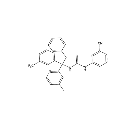 Cc1ccnc(C(Cc2ccccc2)(NC(=O)Nc2cccc(C#N)c2)c2cccc(C(F)(F)F)c2)c1